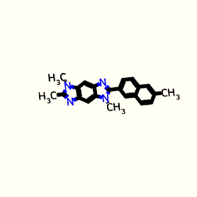 Cc1ccc2cc(-c3nc4cc5c(cc4n3C)nc(C)n5C)ccc2c1